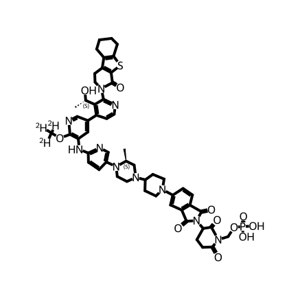 [2H]C([2H])([2H])Oc1ncc(-c2ccnc(N3CCc4c(sc5c4CCCC5)C3=O)c2[C@H](C)O)cc1Nc1ccc(N2CCN(C3CCN(c4ccc5c(c4)C(=O)N(C4CCC(=O)N(COP(=O)(O)O)C4=O)C5=O)CC3)C[C@@H]2C)cn1